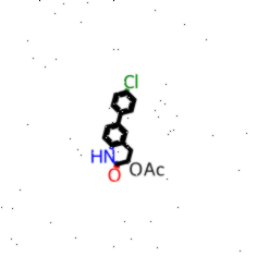 CC(=O)OC1Cc2cc(-c3ccc(Cl)cc3)ccc2NC1=O